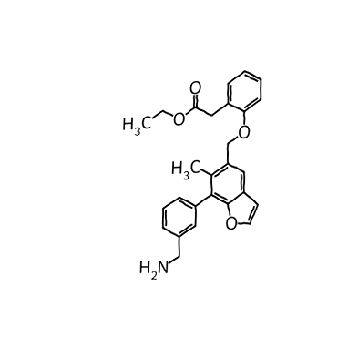 CCOC(=O)Cc1ccccc1OCc1cc2ccoc2c(-c2cccc(CN)c2)c1C